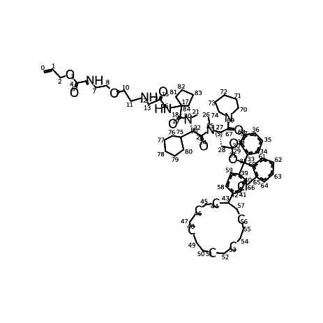 C=CCOC(=O)NCCOCCNCC(=O)NC1(C(=O)N(C)[C@H](C(=O)N(C)[C@@H](CC(=O)OC(c2ccccc2)(c2ccc(C3CCCCCCCCCCCCCC3)cc2)c2ccccc2Cl)C(=O)N2CCCCC2)C2CCCCC2)CCCC1